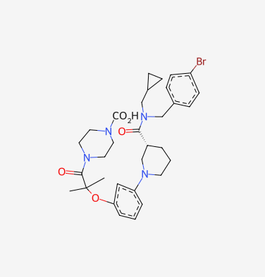 CC(C)(Oc1cccc(N2CCC[C@@H](C(=O)N(Cc3ccc(Br)cc3)CC3CC3)C2)c1)C(=O)N1CCN(C(=O)O)CC1